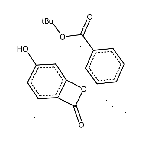 CC(C)(C)OC(=O)c1ccccc1.O=C1Oc2cc(O)ccc21